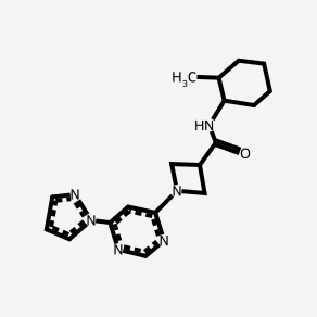 CC1CCCCC1NC(=O)C1CN(c2cc(-n3cccn3)ncn2)C1